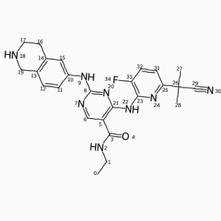 CCNC(=O)c1cnc(Nc2ccc3c(c2)CCNC3)nc1Nc1nc(C(C)(C)C#N)ccc1F